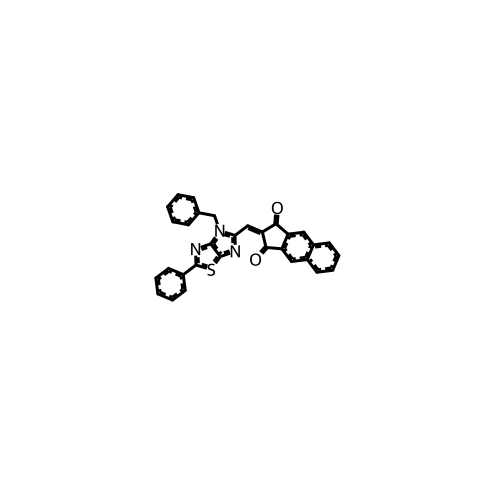 O=C1C(=Cc2nc3sc(-c4ccccc4)nc3n2Cc2ccccc2)C(=O)c2cc3ccccc3cc21